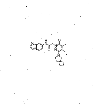 Cc1c(N2CCC3(CCC3)C2)nn(CC(=O)Nc2ccn3ccnc3c2)c(=O)c1C